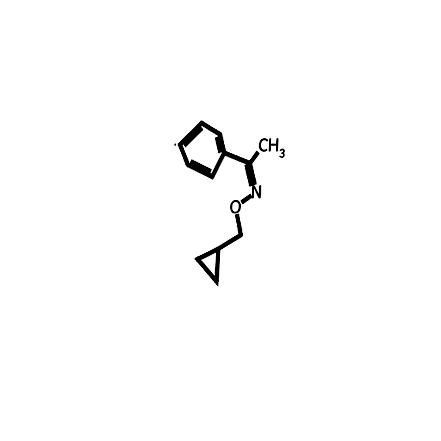 C/C(=N/OCC1CC1)c1cc[c]cc1